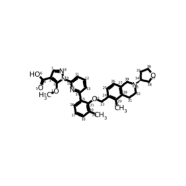 COc1c(C(=O)O)cnn1-c1cccc(-c2cccc(C)c2OCc2ccc3c(c2C)CCN([C@H]2CCOC2)C3)n1